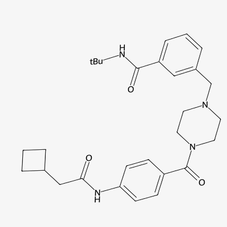 CC(C)(C)NC(=O)c1cccc(CN2CCN(C(=O)c3ccc(NC(=O)CC4CCC4)cc3)CC2)c1